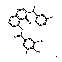 CC(c1cccc(F)c1)n1cnc2cccc(NC(=O)c3cc(F)c(O)c(C#N)c3)c2c1=O